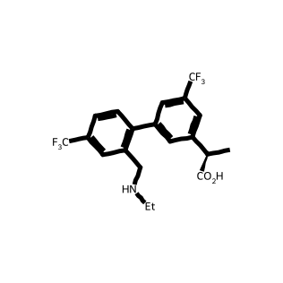 CCNCc1cc(C(F)(F)F)ccc1-c1cc([C@@H](C)C(=O)O)cc(C(F)(F)F)c1